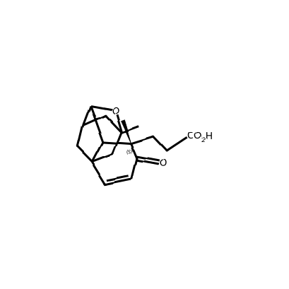 CC12CC3CC4(C=CC(=O)[C@@](C)(CCC(=O)O)C4C3O1)C2